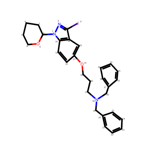 Ic1nn(C2CCCCO2)c2ccc(OCCCN(Cc3ccccc3)Cc3ccccc3)cc12